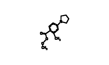 COOC(=O)c1ccc(N2CCCC2)cc1C